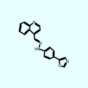 C(=NNc1ccc(-c2cnco2)cc1)c1ccnc2ccccc12